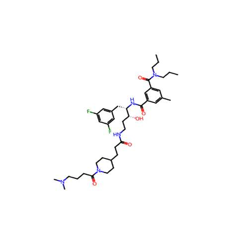 CCCN(CCC)C(=O)c1cc(C)cc(C(=O)N[C@@H](Cc2cc(F)cc(F)c2)[C@H](O)CCNC(=O)CCC2CCN(C(=O)CCCN(C)C)CC2)c1